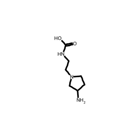 NC1CCN(CCNC(=O)O)C1